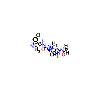 Cc1cc(N2C[C@H]3C[C@H]3C2=O)ncc1C(C)n1cc(C(=O)N[C@H]2C[C@@](C)(c3cc(Cl)ccc3C#N)C2)nn1